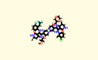 COC(C)(C)COc1cnccc1-c1[nH]c2c(c1Nc1cccc(F)c1CC(F)F)C(=O)N[C@H](C)C2.Cc1c(Cl)cccc1Nc1c(-c2ccncc2OCC2COCCO2)[nH]c2c1C(=O)NCC2C